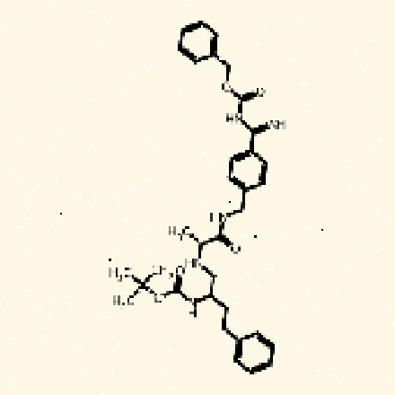 C[C@H](NC[C@@H](CCc1ccccc1)NC(=O)OC(C)(C)C)C(=O)NCc1ccc(C(=N)NC(=O)OCc2ccccc2)cc1